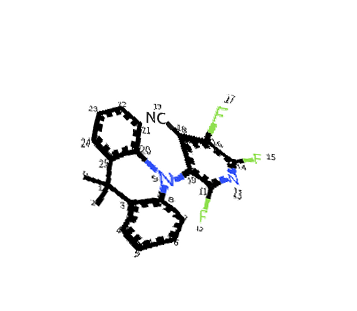 CC1(C)c2ccccc2N(c2c(F)nc(F)c(F)c2C#N)c2ccccc21